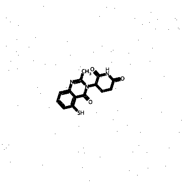 Cc1nc2cccc(S)c2c(=O)n1C1CCC(=O)NC1=O